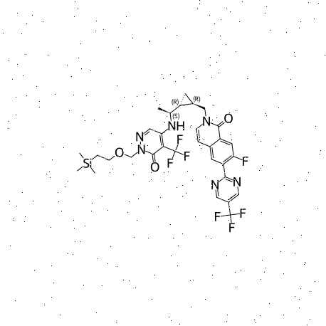 C[C@H](Nc1cnn(COCC[Si](C)(C)C)c(=O)c1C(F)(F)F)[C@@H]1C[C@H]1Cn1ccc2cc(-c3ncc(C(F)(F)F)cn3)c(F)cc2c1=O